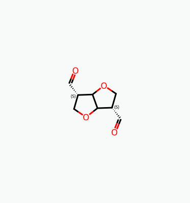 O=C[C@H]1COC2C1OC[C@@H]2C=O